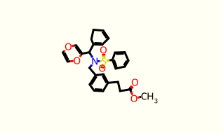 COC(=O)CCc1cccc(CN(C(C2=CC=CCC2)C2=COC=CO2)S(=O)(=O)c2ccccc2)c1